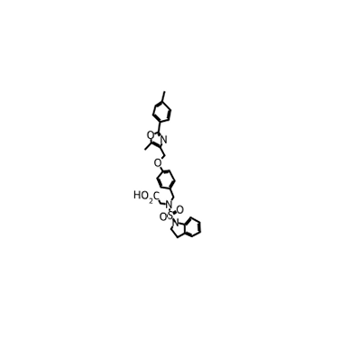 Cc1ccc(-c2nc(COc3ccc(CN(CC(=O)O)S(=O)(=O)N4CCc5ccccc54)cc3)c(C)o2)cc1